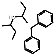 CCC(C)NC(C)CC.c1ccc(Cc2ccccc2)cc1